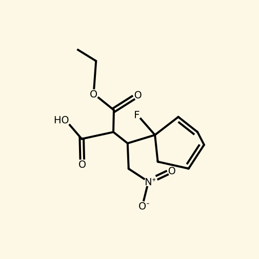 CCOC(=O)C(C(=O)O)C(C[N+](=O)[O-])C1(F)C=CC=CC1